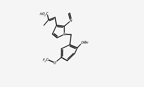 C=Nc1c(/C=C(\C)C(=O)O)ccn1Cc1cc(OC(F)(F)F)ccc1OCC(C)C